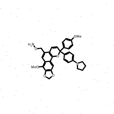 COc1ccc(C2(c3ccc(N4CCCC4)cc3)C=Cc3c(CON)cc4c(OC)c5c(cc4c3O2)OCO5)cc1